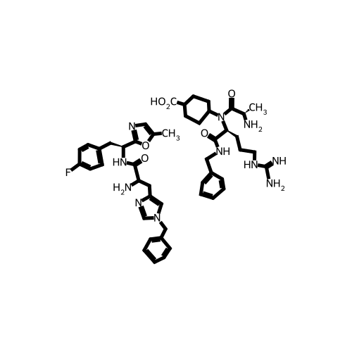 C[C@H](N)C(=O)N(C1CCC(C(=O)O)CC1)[C@@H](CCCNC(=N)N)C(=O)NCc1ccccc1.Cc1cnc([C@H](Cc2ccc(F)cc2)NC(=O)C(N)Cc2cn(Cc3ccccc3)cn2)o1